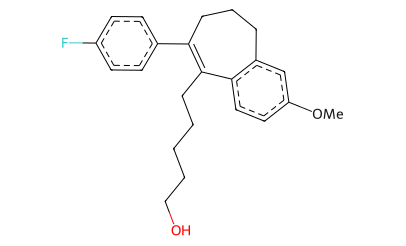 COc1ccc2c(c1)CCCC(c1ccc(F)cc1)=C2CCCCCO